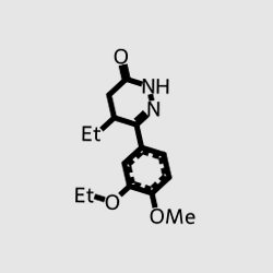 CCOc1cc(C2=NNC(=O)CC2CC)ccc1OC